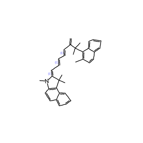 C=C(/C=C/C=C/C=C1/N(C)c2ccc3ccccc3c2C1(C)C)C(C)(C)c1c(C)ccc2ccccc12